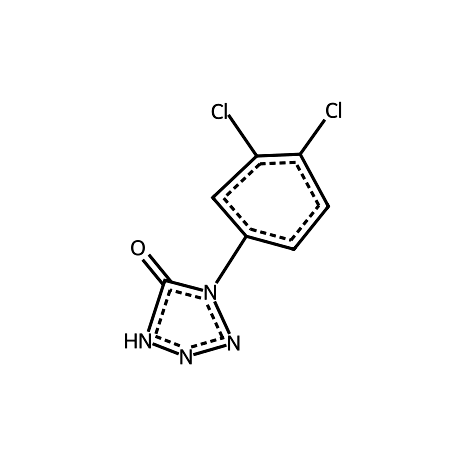 O=c1[nH]nnn1-c1ccc(Cl)c(Cl)c1